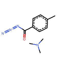 CN(C)C.Cc1ccc(C(=O)N=[N+]=[N-])cc1